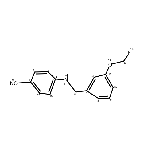 N#Cc1ccc(NCc2cccc(OCF)c2)cc1